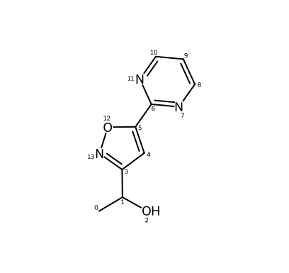 CC(O)c1cc(-c2ncccn2)on1